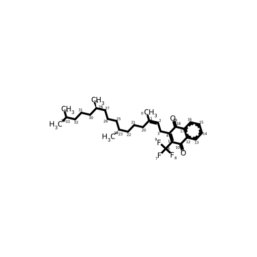 CC(=CCC1=C(C(F)(F)F)C(=O)c2ccccc2C1=O)CCC[C@H](C)CCC[C@H](C)CCCC(C)C